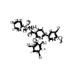 COc1ncc(-c2ccc(C(=O)NS(=O)(=O)c3ccccn3)c(Oc3c(C)cc(C)cc3C)n2)cc1C